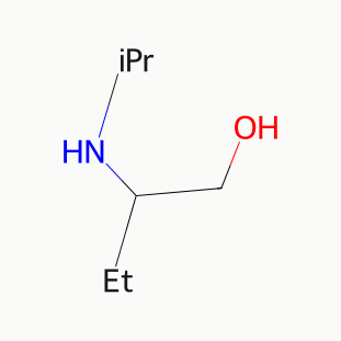 CCC(CO)NC(C)C